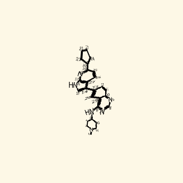 CN1CCC(Nc2ncnc3ccc(-c4c[nH]c5nc(C6CCCC6)ccc45)cc23)CC1